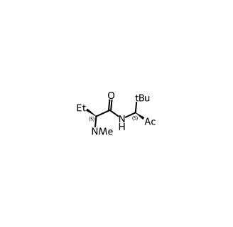 CC[C@H](NC)C(=O)N[C@H](C(C)=O)C(C)(C)C